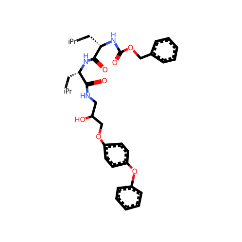 CC(C)C[C@H](NC(=O)OCc1ccccc1)C(=O)N[C@@H](CC(C)C)C(=O)NCC(O)COc1ccc(Oc2ccccc2)cc1